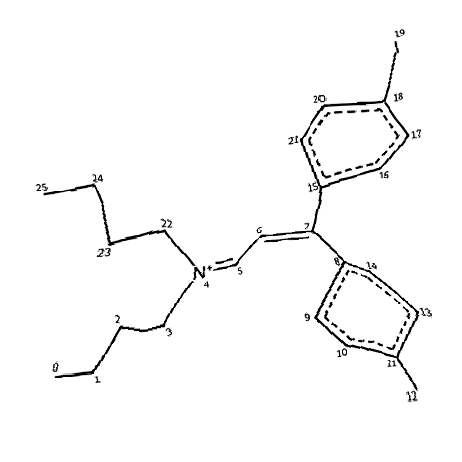 CCCC[N+](=C/C=C(\c1ccc(C)cc1)c1ccc(I)cc1)CCCC